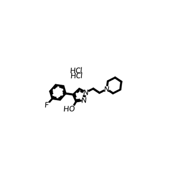 Cl.Cl.Oc1nn(CCN2CCCCC2)cc1-c1cccc(F)c1